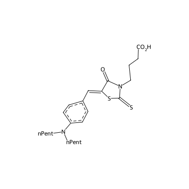 CCCCCN(CCCCC)c1ccc(/C=C2\SC(=S)N(CCCC(=O)O)C2=O)cc1